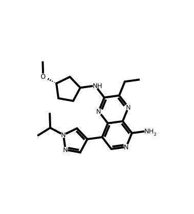 CCc1nc2c(N)ncc(-c3cnn(C(C)C)c3)c2nc1NC1CC[C@H](OC)C1